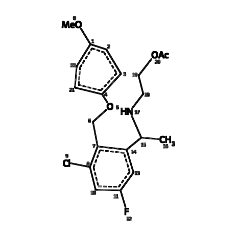 COc1ccc(OCc2c(Cl)cc(F)cc2C(C)NCCOC(C)=O)cc1